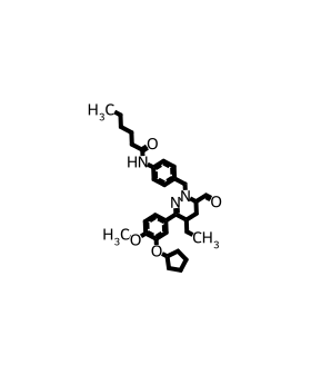 CCCCCC(=O)Nc1ccc(CN2N=C(c3ccc(OC)c(OC4CCCC4)c3)C(CC)CC2C=O)cc1